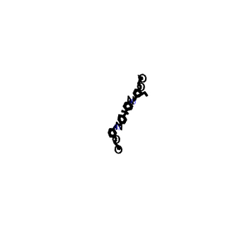 CCc1cc(/C=N/c2ccc(C(C)(C)c3ccc(/N=C/c4cccc(OCC5CO5)c4)cc3)cc2)ccc1OCC1CO1